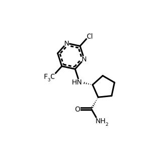 NC(=O)[C@H]1CCC[C@H]1Nc1nc(Cl)ncc1C(F)(F)F